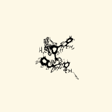 COC1CCCC(CNCC(O)C(Cc2ccccc2)NC(=O)c2cc(C(=O)NC(C)c3ccccc3)cc(N(C)S(C)(=O)=O)c2)C1